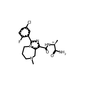 C[C@H](NC(=O)c1nc(-c2cc(Cl)ccc2F)n2c1CN(C)CCC2)C(N)=O